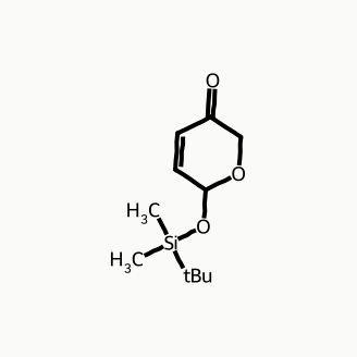 CC(C)(C)[Si](C)(C)OC1C=CC(=O)CO1